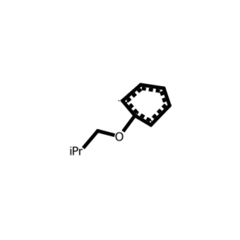 CC(C)COc1[c]cccc1